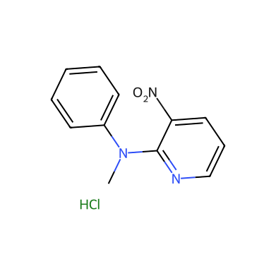 CN(c1ccccc1)c1ncccc1[N+](=O)[O-].Cl